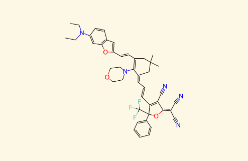 CCN(CC)c1ccc2cc(/C=C/C3=C(N4CCOCC4)C(=C/C=C/C4=C(C#N)C(=C(C#N)C#N)OC4(c4ccccc4)C(F)(F)F)/CC(C)(C)C3)oc2c1